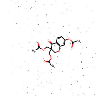 CC(=O)OCC1(COC(C)=O)COc2cc(OC(C)=O)ccc2C1=O